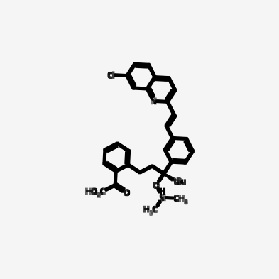 C[SiH](C)O[C@](CCc1ccccc1C(=O)C(=O)O)(c1cccc(C=Cc2ccc3ccc(Cl)cc3n2)c1)C(C)(C)C